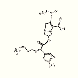 C=CCC/N=C(\C(=O)N[C@H]1CN2CC([S+](C)[O-])=C(C(=O)O)N2C1)c1csc(N)n1